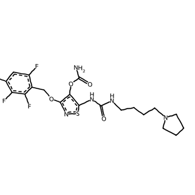 NC(=O)Oc1c(OCc2c(F)cc(Cl)c(F)c2F)nsc1NC(=O)NCCCCN1CCCC1